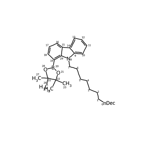 CCCCCCCCCCCCCCCCCn1c2ccccc2c2cccc(B3OC(C)(C)C(C)(C)O3)c21